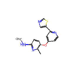 Cc1nc(N[C]=O)ccc1Oc1ccnc(-c2cncs2)c1